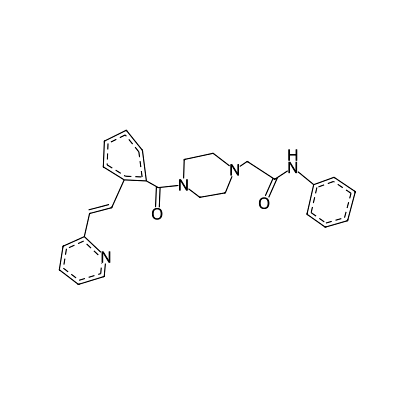 O=C(CN1CCN(C(=O)c2ccccc2/C=C/c2ccccn2)CC1)Nc1ccccc1